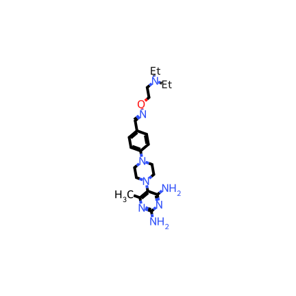 CCN(CC)CCON=Cc1ccc(N2CCN(c3c(C)nc(N)nc3N)CC2)cc1